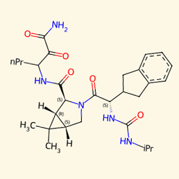 CCCC(NC(=O)[C@@H]1[C@@H]2[C@H](CN1C(=O)[C@@H](NC(=O)NC(C)C)C1Cc3ccccc3C1)C2(C)C)C(=O)C(N)=O